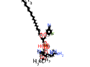 CCCCCCCCCCCCCCCCCCOCC(COc1cc(F)cc(C#N)c1)COP(=O)(O)OC[C@@]1(C#N)O[C@@H](c2ccc3c(N)ncnn23)[C@@H]2OC(C)(C)O[C@@H]21